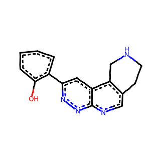 Oc1ccccc1-c1cc2c3c(cnc2nn1)CCNC3